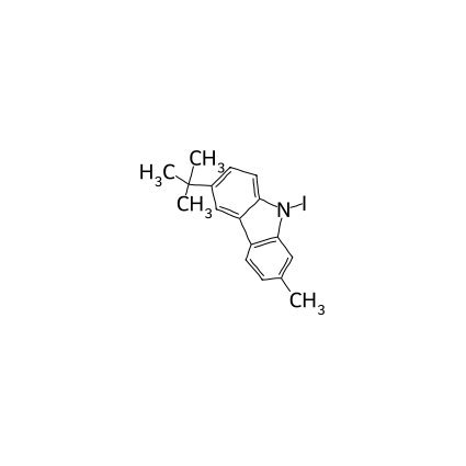 Cc1ccc2c3cc(C(C)(C)C)ccc3n(I)c2c1